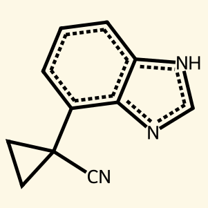 N#CC1(c2cccc3[nH]cnc23)CC1